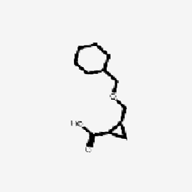 O=C(O)C1CC1COCC1CCCCC1